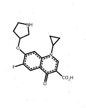 O=C(O)c1cn(C2CC2)c2cc(OC3CCNC3)c(F)cc2c1=O